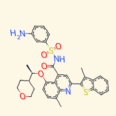 Cc1c(-c2cc(C(=O)NS(=O)(=O)c3cccc(N)c3)c3c(O[C@H](C)C4CCOCC4)ccc(C)c3n2)sc2ccccc12